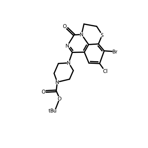 CC(C)(C)OC(=O)N1CCN(c2nc(=O)n3c4c(c(Br)c(Cl)cc24)SCC3)CC1